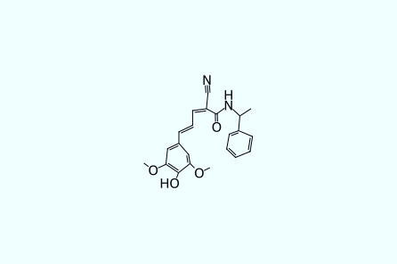 COc1cc(C=CC=C(C#N)C(=O)NC(C)c2ccccc2)cc(OC)c1O